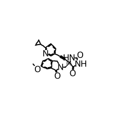 COc1ccc2c(c1)C(=O)N(C[C@@]1(C#Cc3ccc(C4CC4)nc3)NC(=O)NC1=O)C2